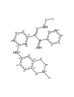 CCN/C=C(\C(=N)c1cccnc1)c1ccnc(Nc2ccc3c(c2)CCN(C)C3)n1